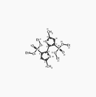 CCOP(=O)(OCC)c1cc(C)sc1-c1sc(C)cc1P(=O)(OCC)OCC